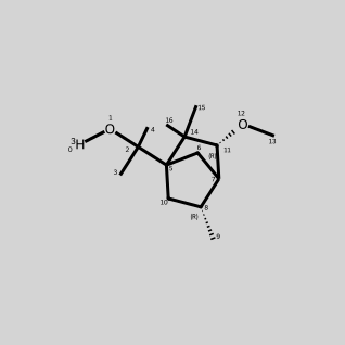 [3H]OC(C)(C)C12CC([C@H](C)C1)[C@@H](OC)C2(C)C